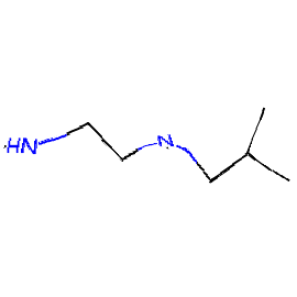 CC(C)C[N]CC[NH]